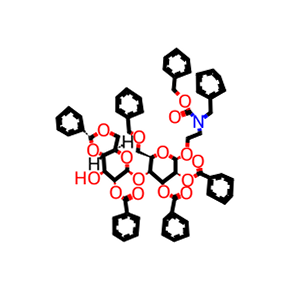 O=C(O[C@@H]1[C@@H](OC(=O)c2ccccc2)[C@H](OCCN(Cc2ccccc2)C(=O)OCc2ccccc2)O[C@H](COCc2ccccc2)[C@H]1O[C@@H]1O[C@@H]2CO[C@@H](c3ccccc3)O[C@H]2[C@H](O)[C@H]1OC(=O)c1ccccc1)c1ccccc1